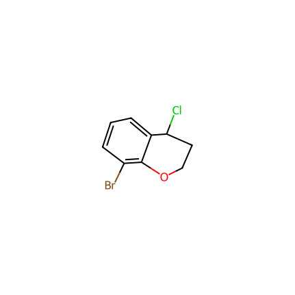 ClC1CCOc2c(Br)cccc21